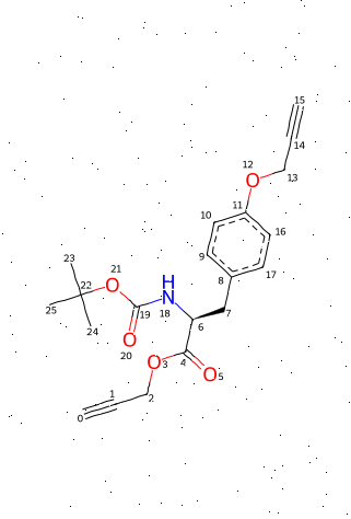 C#CCOC(=O)[C@H](Cc1ccc(OCC#C)cc1)NC(=O)OC(C)(C)C